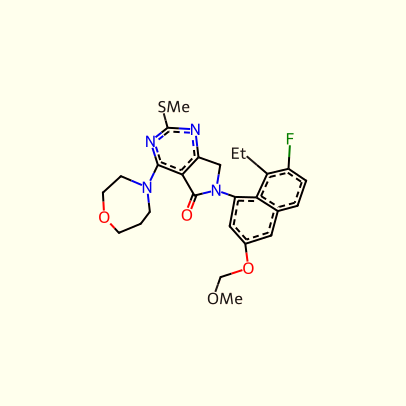 CCc1c(F)ccc2cc(OCOC)cc(N3Cc4nc(SC)nc(N5CCCOCC5)c4C3=O)c12